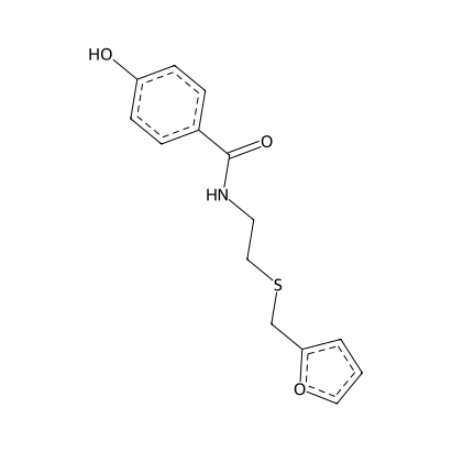 O=C(NCCSCc1ccco1)c1ccc(O)cc1